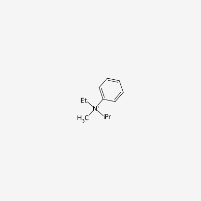 CC[N+](C)(c1ccccc1)C(C)C